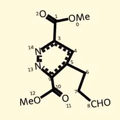 COC(=O)c1cc(CCC=O)c(C(=O)OC)nn1